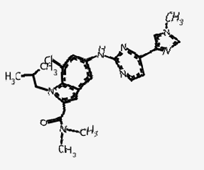 CC(C)Cn1c(C(=O)N(C)C)cc2cc(Nc3nccc(-c4cn(C)cn4)n3)cc(Cl)c21